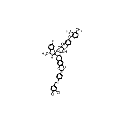 Cc1nccc(Oc2ccc(C[C@H](NC(=O)[C@@H]3Cc4cc5c(cc4CN3C(=O)N[C@H](C)c3ccc(F)cc3)O[C@@H](c3ccc(OCc4ccc(Cl)c(Cl)c4)cc3)CO5)C(=O)O)cc2)c1C